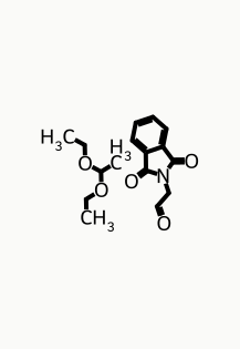 CCOC(C)OCC.O=CCN1C(=O)c2ccccc2C1=O